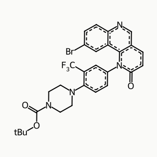 CC(C)(C)OC(=O)N1CCN(c2ccc(-n3c(=O)ccc4cnc5ccc(Br)cc5c43)cc2C(F)(F)F)CC1